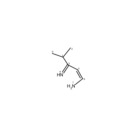 CC(C)C(=N)/C=C\N